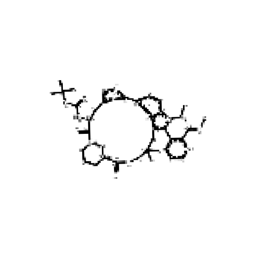 CCn1c(-c2cccnc2[C@H](C)OC)c2c3cc(ccc31)-c1nc(co1)C[C@H](NC(=O)OC(C)(C)C)C(=O)N1CCC[C@H](N1)C(=O)OCC(C)(C)C2